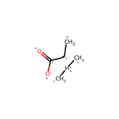 CCC(=O)[O-].[CH3][In+][CH3]